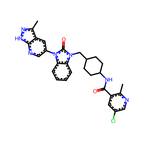 Cc1ncc(Cl)cc1C(=O)NC1CCC(Cn2c(=O)n(-c3cnc4[nH]nc(C)c4c3)c3ccccc32)CC1